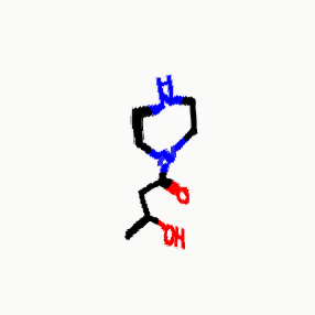 CC(O)CC(=O)N1CCNCC1